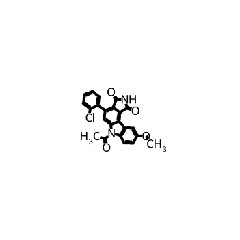 COc1ccc2c(c1)c1c3c(c(-c4ccccc4Cl)cc1n2C(C)=O)C(=O)NC3=O